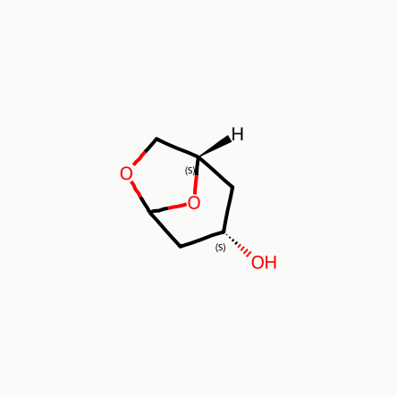 O[C@@H]1CC2OC[C@H](C1)O2